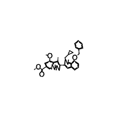 COC(=O)c1cc(OC)c2c(C)c(-c3cc4cccc(OCc5ccccc5)c4n3CC3CC3)nn2c1